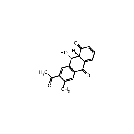 CC(=O)c1cc2c(cc1C)C(=O)C1=CC=CC(=O)[C@H]1[C@H]2O